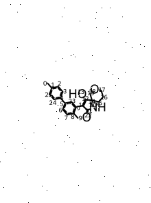 Cc1ccc(-c2ccc(C)c(C3=C(O)C4(CCCOC4)NC3=O)c2)cc1